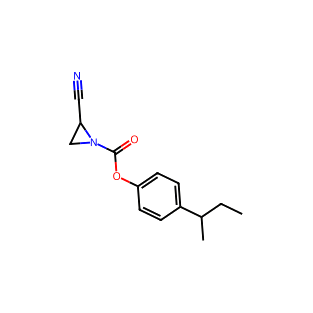 CCC(C)c1ccc(OC(=O)N2CC2C#N)cc1